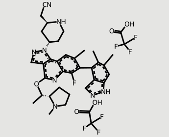 Cc1cc2[nH]ncc2c(-c2c(C)cc3c(nc(OC(C)[C@@H]4CCCN4C)c4cnn([C@H]5CCN[C@H](CC#N)C5)c43)c2F)c1C.O=C(O)C(F)(F)F.O=C(O)C(F)(F)F